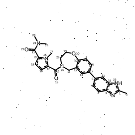 Cc1nc2ccc(-c3ccc4c(c3)CN(C(=O)c3ccc(C(=O)N(C)C)n3C)CCO4)cc2[nH]1